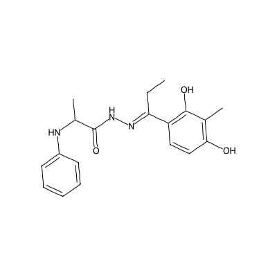 CC/C(=N\NC(=O)C(C)Nc1ccccc1)c1ccc(O)c(C)c1O